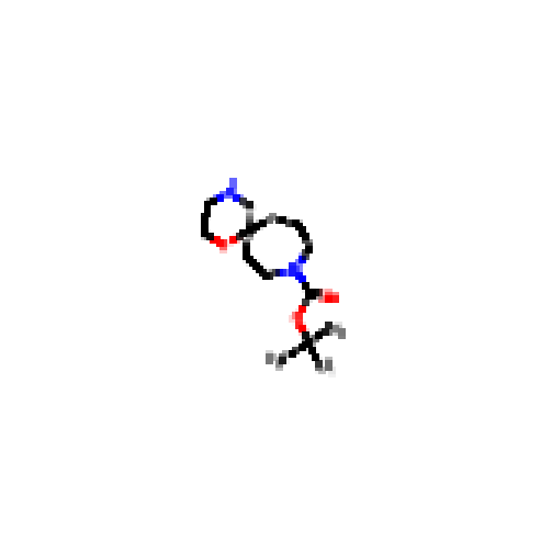 CC(C)(C)OC(=O)N1CCCC2(CC1)CNCCO2